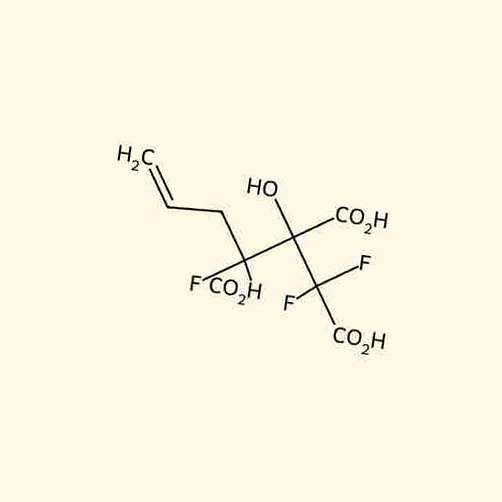 C=CCC(F)(C(=O)O)C(O)(C(=O)O)C(F)(F)C(=O)O